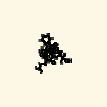 CC(C)=CC[C@]12C[C@@H]3C[C@H]4C(C)(C)OO[C@@H](C(C)(C)O)C[C@@]4(C1=O)C(=O)[C@](C(=O)c1ccccc1)(C2=O)C3(C)C